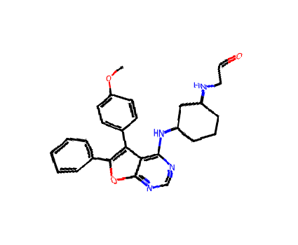 COc1ccc(-c2c(-c3ccccc3)oc3ncnc(NC4CCCC(NCC=O)C4)c23)cc1